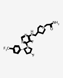 NC(=O)CN1CCC(CNc2ncnc(N3C[C@H](F)C[C@@H]3c3ccc(C(F)(F)F)cc3)c2F)CC1